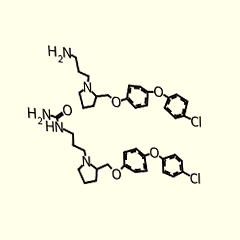 NC(=O)NCCCN1CCCC1COc1ccc(Oc2ccc(Cl)cc2)cc1.NCCCN1CCCC1COc1ccc(Oc2ccc(Cl)cc2)cc1